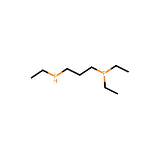 CCPCCCP(CC)CC